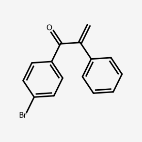 C=C(C(=O)c1ccc(Br)cc1)c1ccccc1